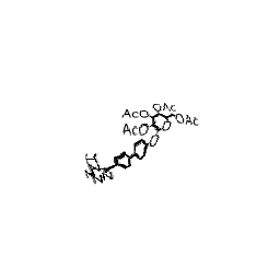 CC(=O)OCC1O[C@H](Oc2ccc(-c3ccc(-c4nnn[nH]4)cc3)cc2)[C@H](OC(C)=O)C(OC(C)=O)[C@@H]1OC(C)=O